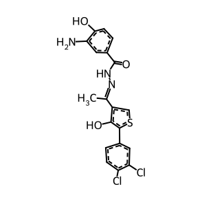 C/C(=N\NC(=O)c1ccc(O)c(N)c1)c1csc(-c2ccc(Cl)c(Cl)c2)c1O